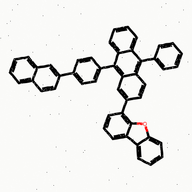 c1ccc(-c2c3ccccc3c(-c3ccc(-c4ccc5ccccc5c4)cc3)c3cc(-c4cccc5c4oc4ccccc45)ccc23)cc1